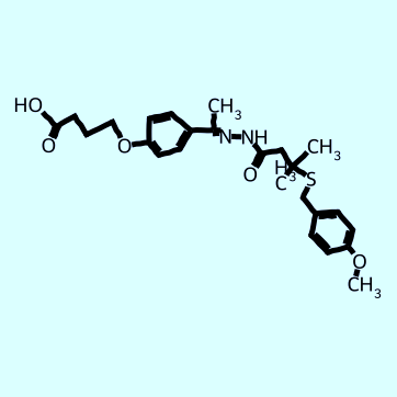 COc1ccc(CSC(C)(C)CC(=O)N/N=C(\C)c2ccc(OCCCC(=O)O)cc2)cc1